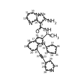 C[C@H](NC(=O)c1c(N)nn2cccnc12)c1cc2cccc(C#Cc3ccncc3)c2n1-c1ccccc1